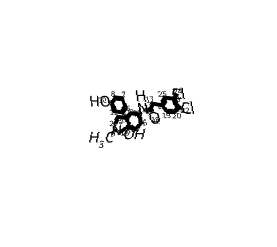 CN1CC[C@@]2(c3cccc(O)c3)C[C@@H](NC(=O)Cc3ccc(Cl)c(Cl)c3)CC[C@]2(O)C1